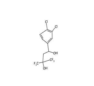 OC(CC(O)(C(F)(F)F)C(F)(F)F)c1ccc(Cl)c(Cl)c1